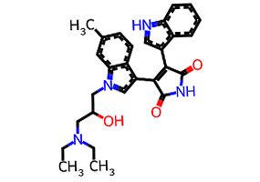 CCN(CC)CC(O)Cn1cc(C2=C(c3c[nH]c4ccccc34)C(=O)NC2=O)c2ccc(C)cc21